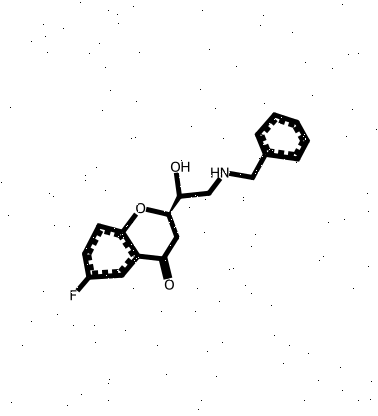 O=C1C[C@H](C(O)CNCc2ccccc2)Oc2ccc(F)cc21